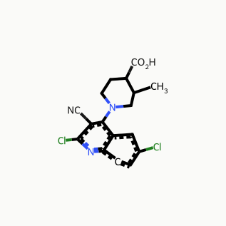 CC1CN(c2c(C#N)c(Cl)nc3ccc(Cl)cc23)CCC1C(=O)O